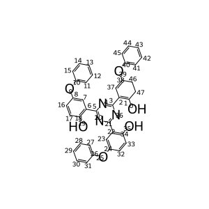 OC1=C(c2nc(-c3cc(Oc4ccccc4)ccc3O)nc(-c3cc(Oc4ccccc4)ccc3O)n2)C=C(Oc2ccccc2)CC1